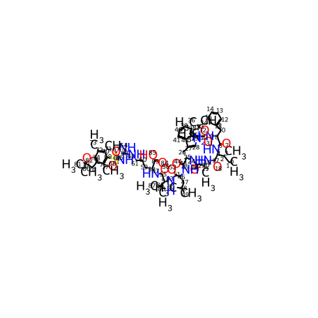 CC[C@H](C)[C@H](NC(=O)[C@@H](N)Cc1ccccc1)C(=O)N[C@@H](C)C(=O)N[C@@H](Cc1cn(C(=O)OC(C)(C)C)c2ccccc12)C(=O)N[C@@H](CC(C)C)C(=O)N[C@H](C(=O)N[C@@H](CCCNC(=N)NS(=O)(=O)c1c(C)c(C)c2c(c1C)CC(C)(C)O2)C(=O)O)C(C)C